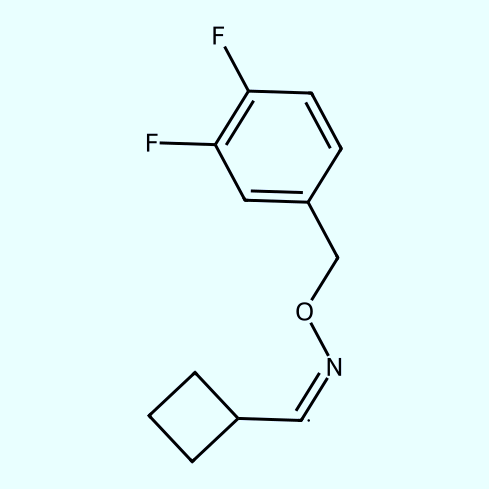 Fc1ccc(CO/N=[C]\C2CCC2)cc1F